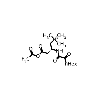 CCCCCCC(=O)C(=O)N[C@H](CC(=O)OC(=O)C(F)(F)F)C[N+](C)(C)C